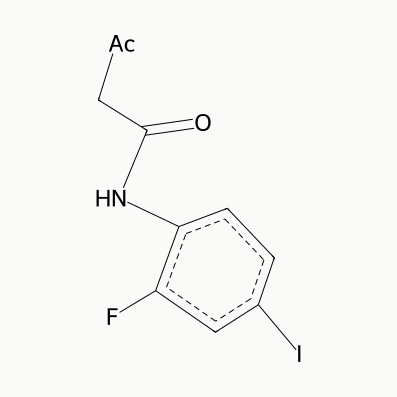 CC(=O)CC(=O)Nc1ccc(I)cc1F